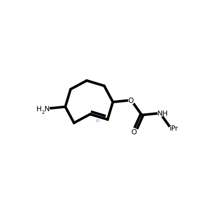 CC(C)NC(=O)OC1/C=C/CC(N)CCC1